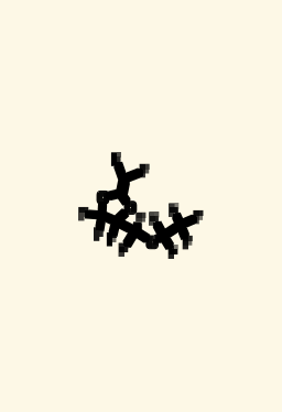 FC(F)=C1OC(F)(F)C(F)(C(F)(F)OC(F)(F)C(F)(F)F)O1